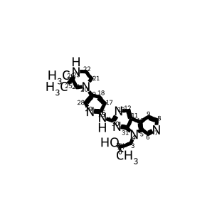 C[C@@H](O)Cn1c2cnccc2c2cnc(Nc3ccc(N4CCNC(C)(C)C4)cn3)nc21